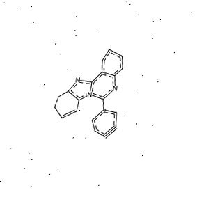 c1ccc(-c2nc3ccccc3c3nc4c(n23)C=CCC4)cc#1